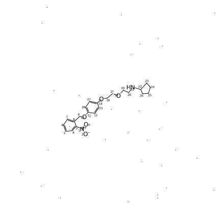 O=[N+]([O-])c1ccccc1COc1ccc(OCCOCCNC2CCCC2)cc1